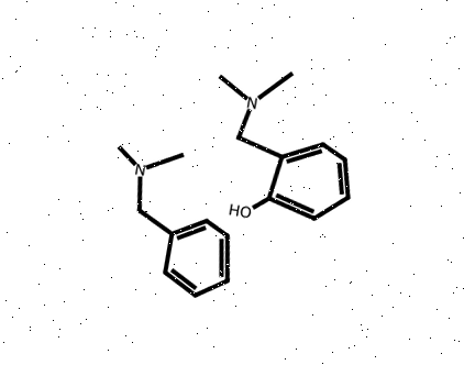 CN(C)Cc1ccccc1.CN(C)Cc1ccccc1O